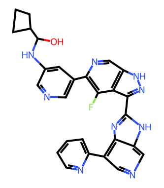 OC(Nc1cncc(-c2ncc3[nH]nc(-c4nc5c(-c6ccccn6)cncc5[nH]4)c3c2F)c1)C1CCC1